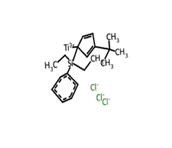 CC[Si](CC)(c1ccccc1)[C]1([Ti+3])C=CC(C(C)(C)C)=C1.[Cl-].[Cl-].[Cl-]